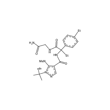 CCCC(C)(C)n1ncc(C(=O)NC(CC)(C(=O)NCC(N)=O)c2ccc(CC)cc2)c1NC